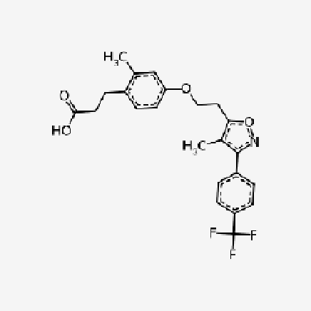 Cc1cc(OCCc2onc(-c3ccc(C(F)(F)F)cc3)c2C)ccc1CCC(=O)O